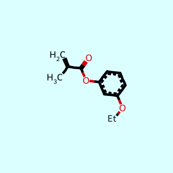 C=C(C)C(=O)Oc1cccc(OCC)c1